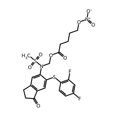 CS(=O)(=O)N(COC(=O)CCCCO[N+](=O)[O-])c1cc2c(cc1Sc1ccc(F)cc1F)C(=O)CC2